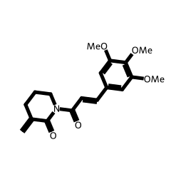 C=C1CCCN(C(=O)/C=C/c2cc(OC)c(OC)c(OC)c2)C1=O